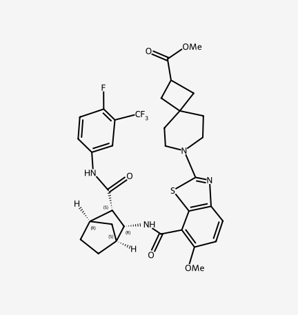 COC(=O)C1CC2(CCN(c3nc4ccc(OC)c(C(=O)N[C@@H]5[C@H]6CC[C@H](C6)[C@@H]5C(=O)Nc5ccc(F)c(C(F)(F)F)c5)c4s3)CC2)C1